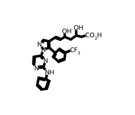 O=C(O)CC(O)CC(O)C=Cc1cnn(-c2ccnc(Nc3ccccc3)n2)c1-c1cccc(C(F)(F)F)c1